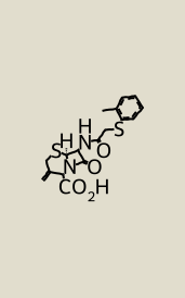 C=C1CS[C@H]2C(NC(=O)CSc3ccccc3C)C(=O)N2C1C(=O)O